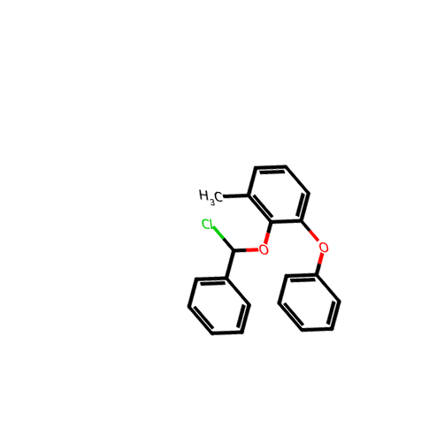 Cc1cccc(Oc2ccccc2)c1OC(Cl)c1ccccc1